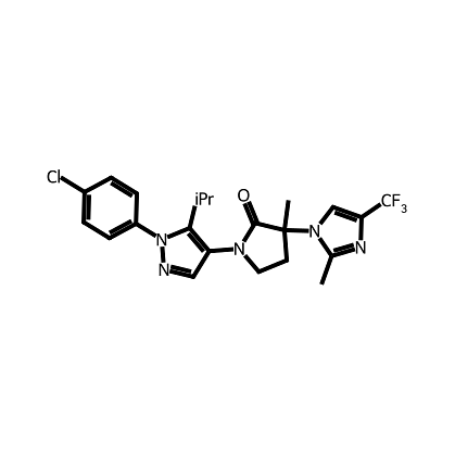 Cc1nc(C(F)(F)F)cn1C1(C)CCN(c2cnn(-c3ccc(Cl)cc3)c2C(C)C)C1=O